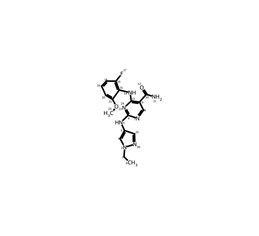 CCn1cc(Nc2ncc(C(N)=O)c(Nc3c(F)cccc3OC)n2)cn1